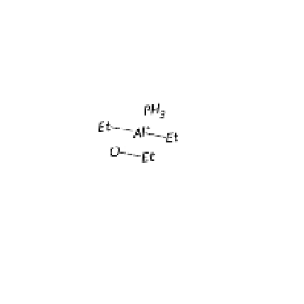 CC[O-].C[CH2][Al+][CH2]C.P